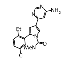 CCc1ccc(Cl)cc1-c1cc(-c2cc(N)ncn2)cn1C(=O)NC